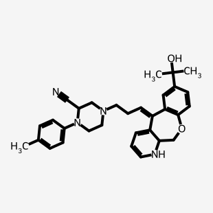 Cc1ccc(N2CCN(CC/C=C3\C4=CC=CNC4COc4ccc(C(C)(C)O)cc43)CC2C#N)cc1